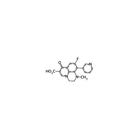 CN1CCn2cc(C(=O)O)c(=O)c3cc(F)c(-c4cccnc4)c1c32